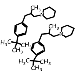 CC(Cc1ccc(C(C)(C)C)cc1)CN1CCCCC1.CC(Cc1ccc(C(C)(C)C)cc1)CN1CCCCC1